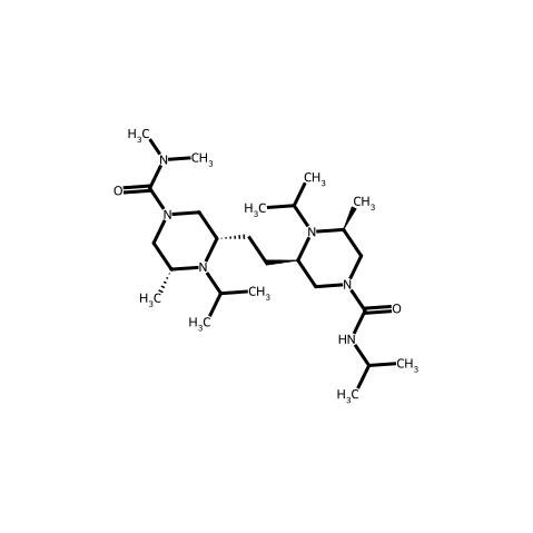 CC(C)NC(=O)N1C[C@@H](CC[C@H]2CN(C(=O)N(C)C)C[C@@H](C)N2C(C)C)N(C(C)C)[C@@H](C)C1